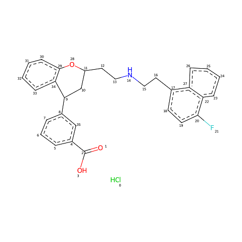 Cl.O=C(O)c1cccc(C2CC(CCNCCc3ccc(F)c4ccccc34)Oc3ccccc32)c1